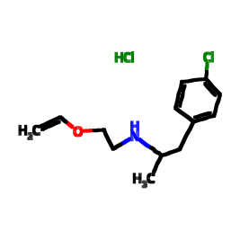 C=COCCNC(C)Cc1ccc(Cl)cc1.Cl